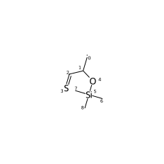 [CH2]C(C=S)O[Si](C)(C)C